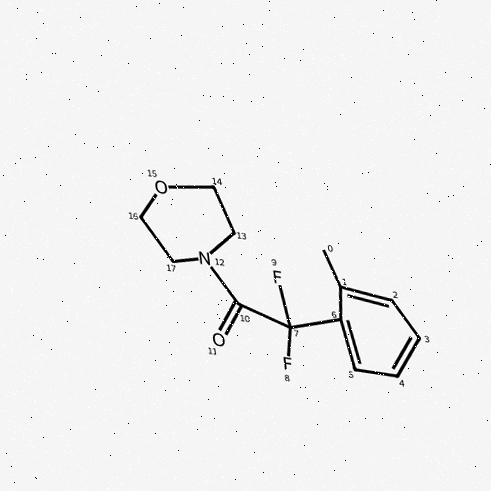 Cc1ccccc1C(F)(F)C(=O)N1CCOCC1